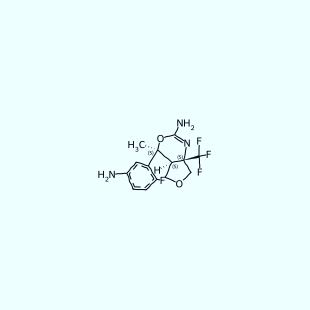 C[C@]1(c2cc(N)ccc2F)OC(N)=N[C@]2(C(F)(F)F)COC[C@@H]12